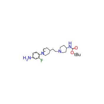 CC(C)(C)OC(=O)NC1CCN(CCC2CCN(c3ccc(N)cc3F)CC2)CC1